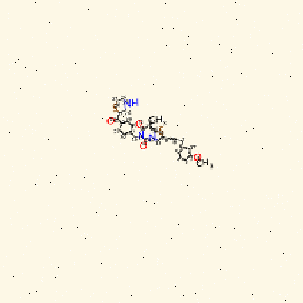 COc1cccc(CC#Cc2cn3c(=O)n(Cc4ccc(C(=O)C5CNCCS5)cc4)c(=O)c(C)c3s2)c1